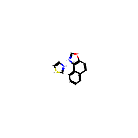 c1ccc2c(c1)ccc1ocnc12.c1cscn1